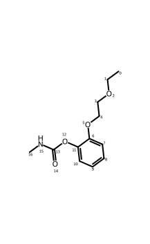 CCOCCOc1ccccc1OC(=O)NC